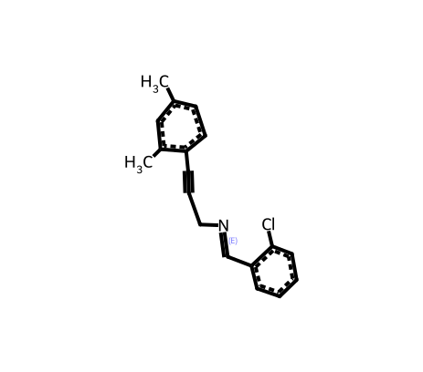 Cc1ccc(C#CC/N=C/c2ccccc2Cl)c(C)c1